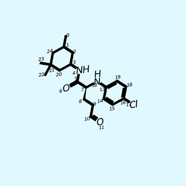 CC1CC(NC(=O)[C@H](CCC=O)Nc2ccc(Cl)cc2)CC(C)(C)C1